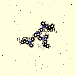 CC1(C)c2ccccc2-c2cc3c4ccccc4n(-c4ccc(-c5ccc6nc(-c7ccc(-n8c9ccccc9c9cc%10c(cc98)C(C)(C)c8ccccc8-%10)cc7)nc(-c7cccc(-n8c9ccccc9c9cc%10c(cc98)C(C)(C)c8ccccc8-%10)c7)c6c5)cc4)c3cc21